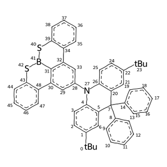 CC(C)(C)c1ccc2c(c1)C(c1ccccc1)(c1ccccc1)c1cc(C(C)(C)C)ccc1N2c1cc2c3c(c1)-c1ccccc1SB3Sc1ccccc1-2